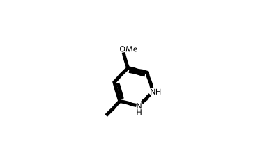 COC1=CNNC(C)=C1